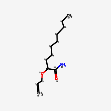 C=CCOC(CCCCCCCC)C(N)=O